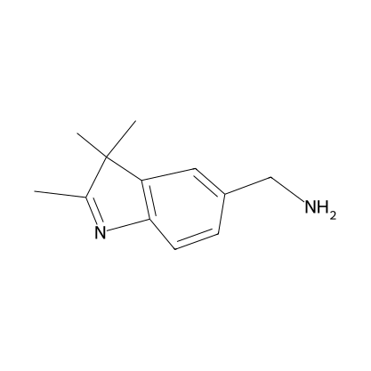 CC1=Nc2ccc(CN)cc2C1(C)C